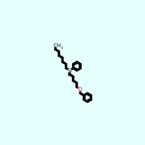 CCCCCCCC[SiH](CCCCCOCc1ccccc1)c1ccccc1